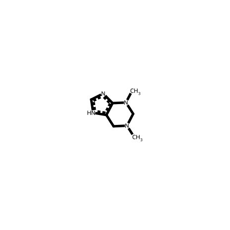 CN1Cc2[nH]cnc2N(C)C1